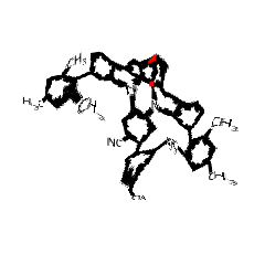 Cc1cc(C)c(-c2ccc3c4ccccc4n(-c4cc(C#N)c(-c5ccc(C#N)cc5C(F)(F)F)cc4-n4c5ccccc5c5ccc(-c6c(C)cc(C)cc6C)cc54)c3c2)c(C)c1